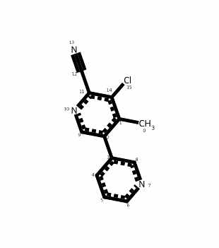 Cc1c(-c2cccnc2)cnc(C#N)c1Cl